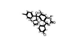 Cc1ccc(C(O)(c2cc3c(-c4cccc(Cl)c4)nc(=O)n(C)c3cc2C)c2nncn2C)cc1